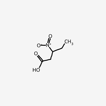 CCC(CC(=O)O)[N+](=O)[O-]